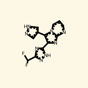 FC(F)c1n[nH]c(-c2nc3ncccn3c2-c2cn[nH]c2)n1